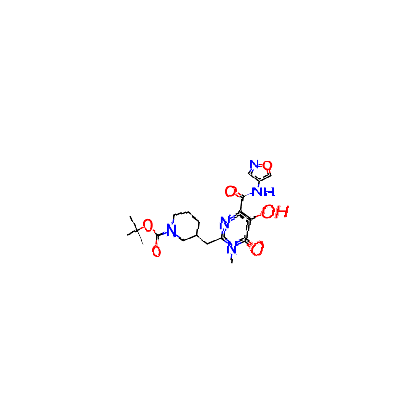 Cn1c(CC2CCCN(C(=O)OC(C)(C)C)C2)nc(C(=O)Nc2cnoc2)c(O)c1=O